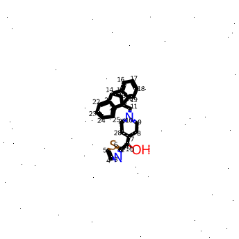 O[C@@H](c1nccs1)C1CCN(CC23CC(c4ccccc42)c2ccccc23)CC1